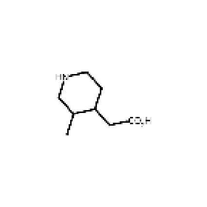 CC1CNCCC1CC(=O)O